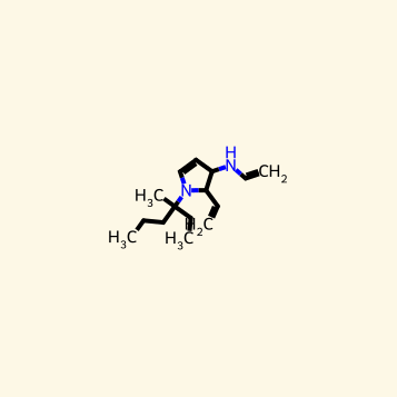 C=CNC1C=CN(C(C)(CC)CCC)C1C=C